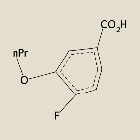 CCCOc1cc(C(=O)O)ccc1F